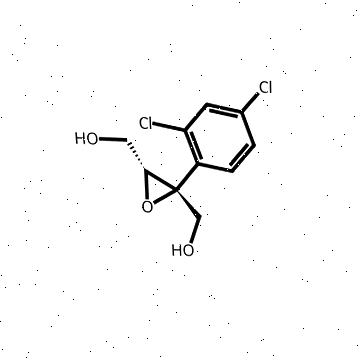 OC[C@H]1O[C@@]1(CO)c1ccc(Cl)cc1Cl